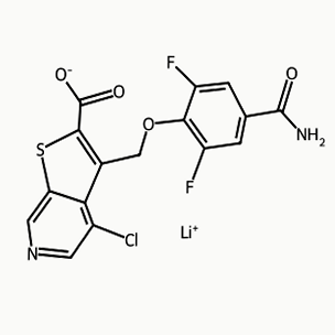 NC(=O)c1cc(F)c(OCc2c(C(=O)[O-])sc3cncc(Cl)c23)c(F)c1.[Li+]